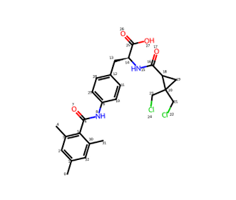 Cc1cc(C)c(C(=O)Nc2ccc(C[C@H](NC(=O)C3CC3(CCl)CCl)C(=O)O)cc2)c(C)c1